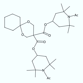 CC(=O)N1C(C)(C)CC(OC(=O)C2(C(=O)OC3CC(C)(C)N(C(C)=O)C(C)(C)C3)COC3(CCCCC3)OC2)CC1(C)C